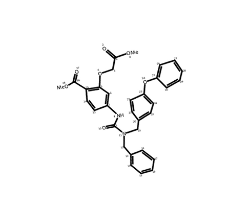 COC(=O)COc1cc(NC(=O)N(Cc2ccccc2)Cc2ccc(Oc3ccccc3)cc2)ccc1C(=O)OC